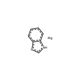 [Mg].c1ccc2[nH]cnc2c1